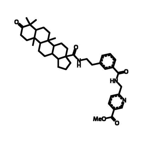 COC(=O)c1ccc(CNC(=O)c2cccc(CCNC(=O)C34CCCC3C3CCC5C(C)(CCC6C(C)(C)C(=O)CCC65C)C3CC4)c2)nc1